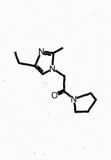 CCc1cn(CC(=O)N2CCCC2)c(C)n1